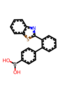 OB(O)c1ccc(-c2ccccc2-c2nc3ccccc3s2)cc1